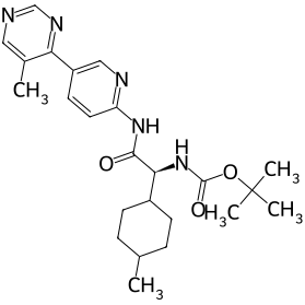 Cc1cncnc1-c1ccc(NC(=O)[C@@H](NC(=O)OC(C)(C)C)C2CCC(C)CC2)nc1